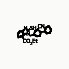 CCOC(=O)c1cccc2nc(S)n(Cc3ccc(-c4ccccc4)c(C#N)c3)c12